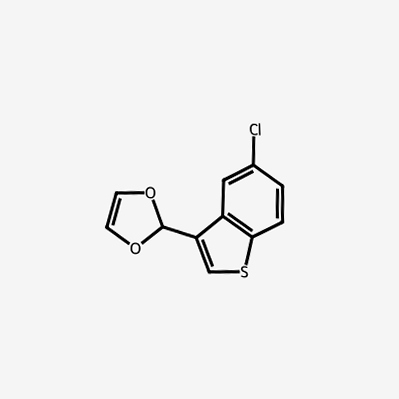 Clc1ccc2scc(C3OC=CO3)c2c1